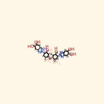 Bc1cc(N2N=C3C=C(O)C(O)=CC3N2)c(O)c(Bc2c(B)c(B)cc(-n3nc4cc(O)c(O)cc4n3)c2O)c1B